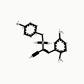 Cc1ccc(C)c(C=C(C#N)S(=O)(=O)Cc2ccc(Br)cc2)c1